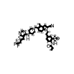 C=CC(=O)Nc1ccc(CCn2c(C#N)cc3c(C)c(CN4CCC(Nc5ncnc6sc(CC(F)(F)F)cc56)CC4)ccc32)cc1P(C)(C)=O